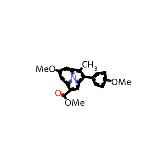 COC(=O)c1cc2c(-c3ccc(OC)cc3)c(C)c3cc(OC)cc1n32